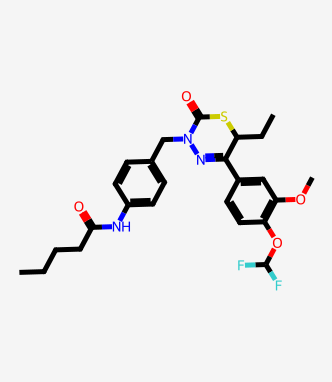 CCCCC(=O)Nc1ccc(CN2N=C(c3ccc(OC(F)F)c(OC)c3)C(CC)SC2=O)cc1